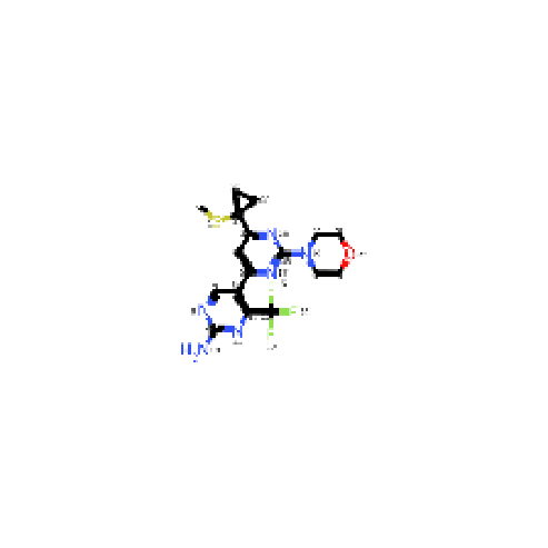 CSC1(c2cc(-c3cnc(N)nc3C(F)(F)F)nc(N3CCOCC3)n2)CC1